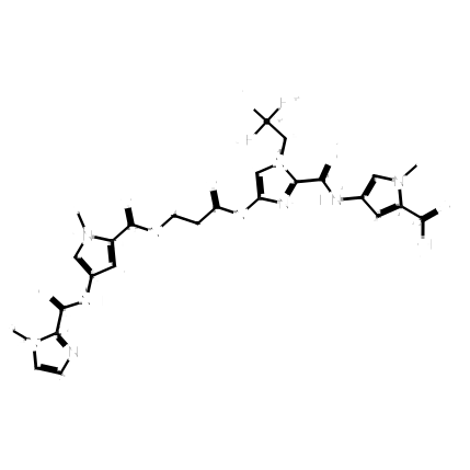 Cn1cc(NC(=O)c2nc(NC(=O)CCNC(=O)c3cc(NC(=O)c4nccn4C)cn3C)cn2CC(F)(F)F)cc1C(=O)O